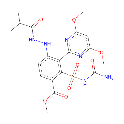 COC(=O)c1ccc(NNC(=O)C(C)C)c(-c2nc(OC)cc(OC)n2)c1S(=O)(=O)NC(N)=O